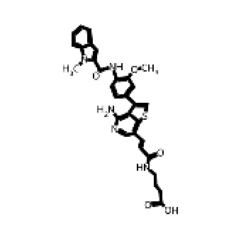 COc1cc(-c2csc3c(/C=C/C(=O)NCCCC(=O)O)cnc(N)c23)ccc1NC(=O)c1cc2ccccc2n1C